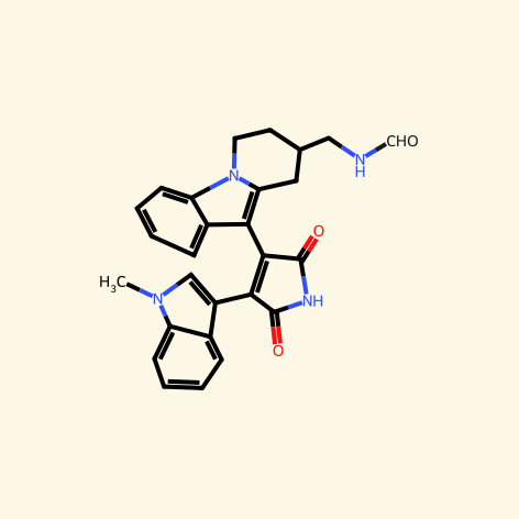 Cn1cc(C2=C(c3c4n(c5ccccc35)CCC(CNC=O)C4)C(=O)NC2=O)c2ccccc21